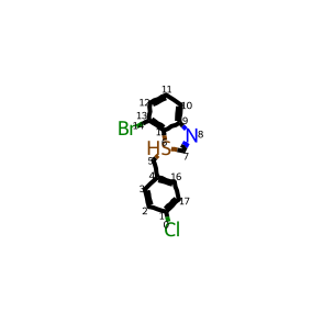 Clc1ccc(C[SH]2C=Nc3cccc(Br)c32)cc1